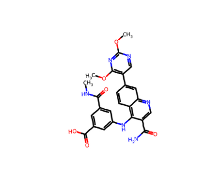 CNC(=O)c1cc(Nc2c(C(N)=O)cnc3cc(-c4cnc(OC)nc4OC)ccc23)cc(C(=O)O)c1